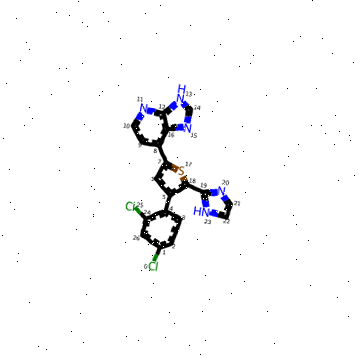 Clc1ccc(-c2cc(-c3ccnc4[nH]cnc34)sc2-c2ncc[nH]2)c(Cl)c1